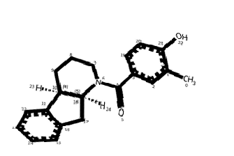 Cc1cc(C(=O)N2CCC[C@@H]3c4ccccc4C[C@@H]32)ccc1O